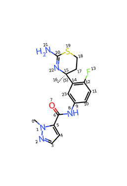 Cn1nccc1C(=O)Nc1ccc(F)c([C@]2(C)CCSC(N)=N2)c1